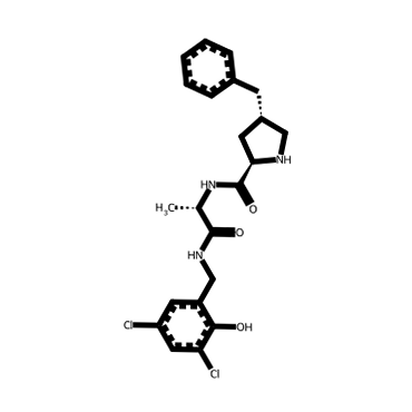 C[C@H](NC(=O)[C@H]1C[C@H](Cc2ccccc2)CN1)C(=O)NCc1cc(Cl)cc(Cl)c1O